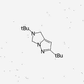 CC(C)(C)c1cc2n(n1)CN(C(C)(C)C)C2